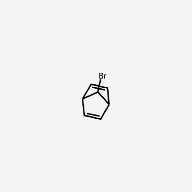 BrC1C2C=CC1C=C2